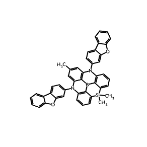 Cc1cc2c3c(c1)N(c1ccc4c(c1)oc1ccccc14)c1cccc4c1B3c1c(cccc1[Si]4(C)C)N2c1ccc2c(c1)oc1ccccc12